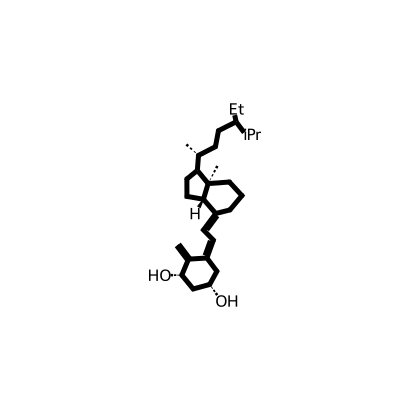 C=C1/C(=C\C=C2/CCC[C@]3(C)C([C@H](C)CCC(CC)C(C)C)CC[C@@H]23)C[C@H](O)C[C@@H]1O